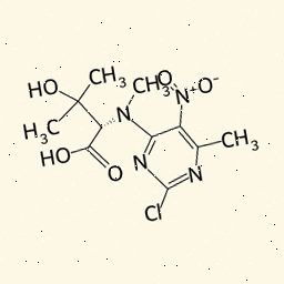 Cc1nc(Cl)nc(N(C)[C@H](C(=O)O)C(C)(C)O)c1[N+](=O)[O-]